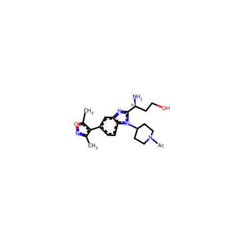 CC(=O)N1CCC(n2c([C@@H](N)CCO)nc3cc(-c4c(C)noc4C)ccc32)CC1